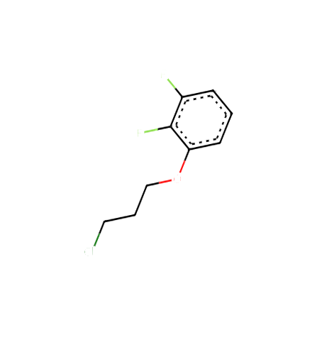 Fc1[c]ccc(OCCCCl)c1F